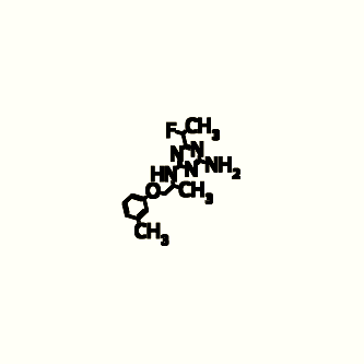 Cc1cccc(OCC(C)Nc2nc(N)nc(C(C)F)n2)c1